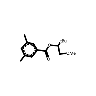 COCC(OC(=O)c1cc(C)cc(C)c1)C(C)(C)C